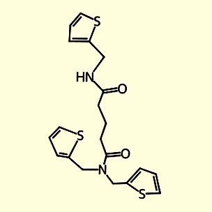 O=C(CCCC(=O)N(Cc1cccs1)Cc1cccs1)NCc1cccs1